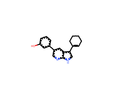 Oc1cccc(-c2cnc3[nH]cc(C4=CCCCC4)c3c2)c1